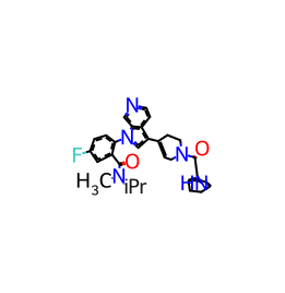 CC(C)N(C)C(=O)c1cc(F)ccc1-n1cc(C2=CCN(C(=O)C3NC4CCC3CC4)CC2)c2ccncc21